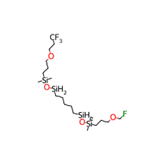 C[Si](C)(CCCOCF)O[SiH2]CCCCC[SiH2]O[Si](C)(C)CCCOCCC(F)(F)F